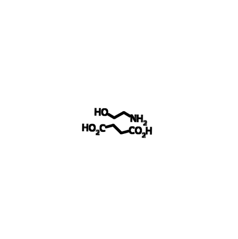 NCCO.O=C(O)CCC(=O)O